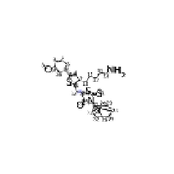 COc1cccc(-c2cc(CCCCCN)c(/C=C3\SC(=S)N(C4C5CC6CC(C5)CC4C6)C3=O)s2)c1